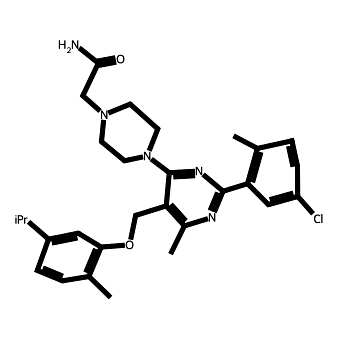 Cc1ccc(C(C)C)cc1OCc1c(C)nc(-c2cc(Cl)ccc2C)nc1N1CCN(CC(N)=O)CC1